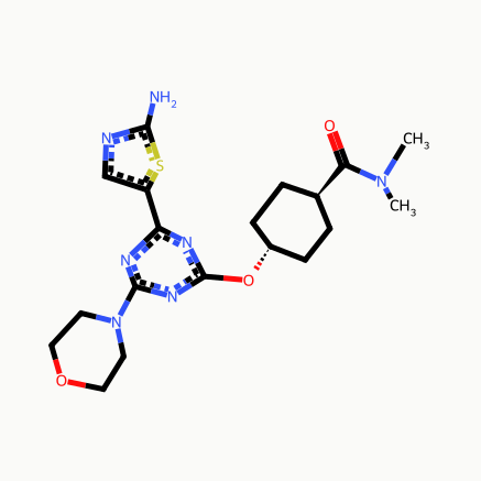 CN(C)C(=O)[C@H]1CC[C@H](Oc2nc(-c3cnc(N)s3)nc(N3CCOCC3)n2)CC1